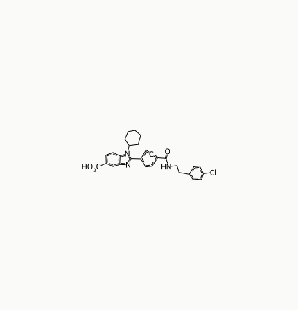 O=C(O)c1ccc2c(c1)nc(-c1ccc(C(=O)NCCc3ccc(Cl)cc3)cc1)n2C1CCCCC1